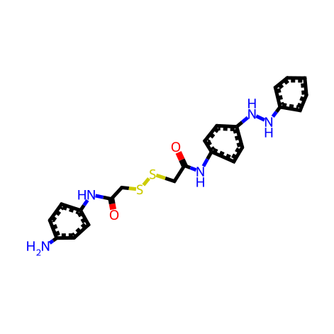 Nc1ccc(NC(=O)CSSCC(=O)Nc2ccc(NNc3ccccc3)cc2)cc1